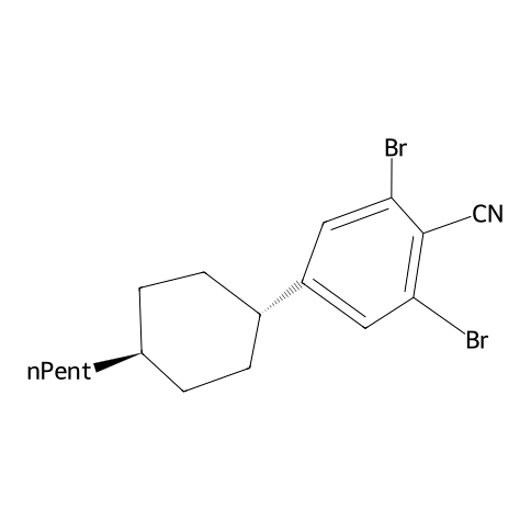 CCCCC[C@H]1CC[C@H](c2cc(Br)c(C#N)c(Br)c2)CC1